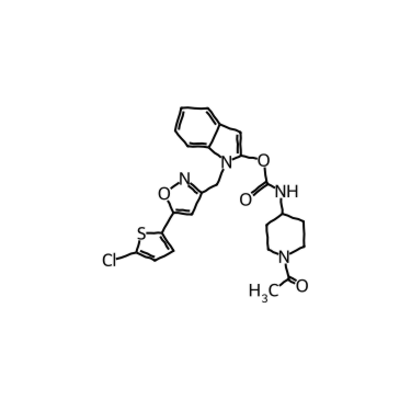 CC(=O)N1CCC(NC(=O)Oc2cc3ccccc3n2Cc2cc(-c3ccc(Cl)s3)on2)CC1